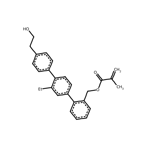 C=C(C)C(=O)OCc1ccccc1-c1ccc(-c2ccc(CCO)cc2)c(CC)c1